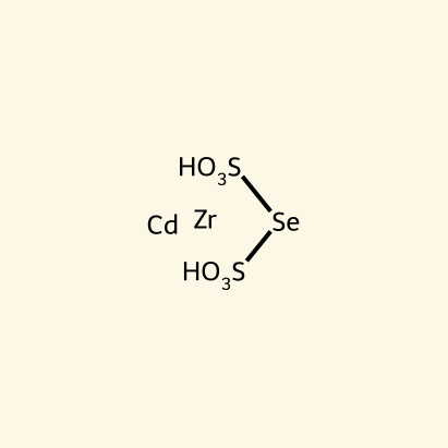 O=S(=O)(O)[Se]S(=O)(=O)O.[Cd].[Zr]